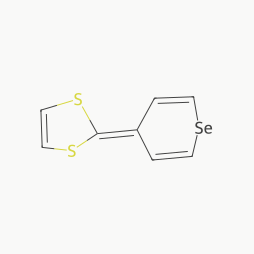 C1=CSC(=C2C=C[Se]C=C2)S1